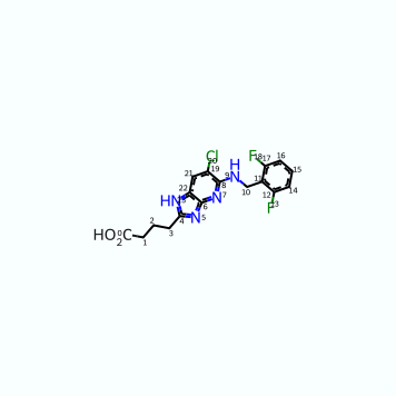 O=C(O)CCCc1nc2nc(NCc3c(F)cccc3F)c(Cl)cc2[nH]1